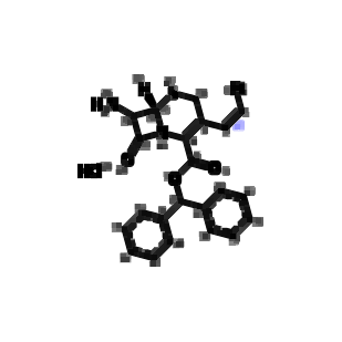 CC/C=C\C1=C(C(=O)OC(c2ccccc2)c2ccccc2)N2C(=O)C(N)[C@@H]2SC1.Cl